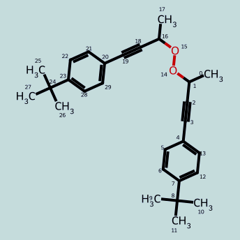 CC(C#Cc1ccc(C(C)(C)C)cc1)OOC(C)C#Cc1ccc(C(C)(C)C)cc1